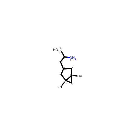 NC(CC1C[C@@H]2C[C@@H]2C1)C(=O)O